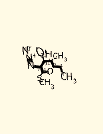 CCC1O[C@@H](SC)C(N=[N+]=[N-])[C@@H](O)[C@@H]1C